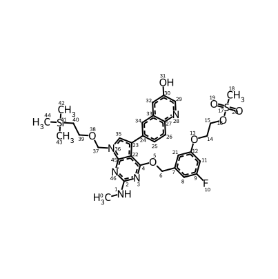 CNc1nc(OCc2cc(F)cc(OCCOS(C)(=O)=O)c2)c2c(-c3ccc4ncc(O)cc4c3)cn(COCC[Si](C)(C)C)c2n1